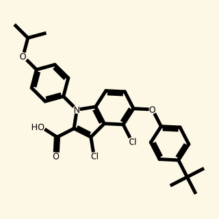 CC(C)Oc1ccc(-n2c(C(=O)O)c(Cl)c3c(Cl)c(Oc4ccc(C(C)(C)C)cc4)ccc32)cc1